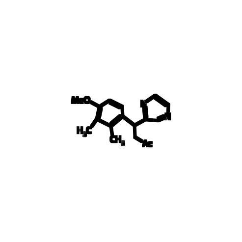 COc1ccc(C(CC(C)=O)c2cnccn2)c(C)c1C